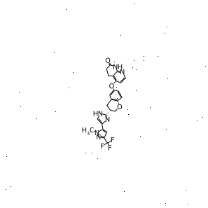 Cn1nc(C(F)(F)F)cc1-c1c[nH]c([C@H]2COc3ccc(Oc4ccnc5c4CCC(=O)N5)cc3C2)n1